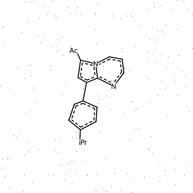 CC(=O)c1cc(-c2ccc(C(C)C)cc2)c2ncccn12